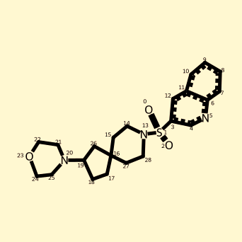 O=S(=O)(c1cnc2ccccc2c1)N1CCC2(CCC(N3CCOCC3)C2)CC1